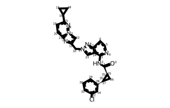 O=C(Nc1nccc2nn(Cc3cn4nc(C5CC5)ccc4n3)cc12)[C@H]1C[C@@H]1c1cccc(Cl)c1